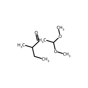 CCC(C)C=O.COC(C)OC